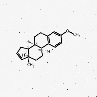 COc1ccc2c(c1)CC[C@H]1[C@@H]2CC[C@]2(C)C=CC[C@@H]12